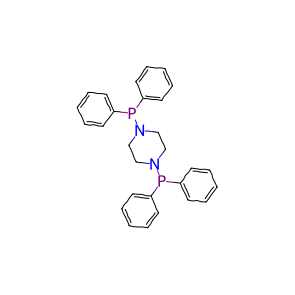 c1ccc(P(c2ccccc2)N2CCN(P(c3ccccc3)c3ccccc3)CC2)cc1